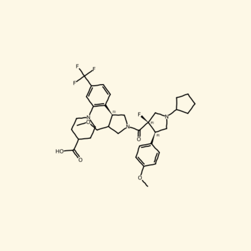 COCC1CN(C(=O)[C@]2(F)CN(C3CCCC3)C[C@H]2c2ccc(OC)cc2)C[C@@H]1c1ccc(C(F)(F)F)cc1N1CCC(C(=O)O)CC1